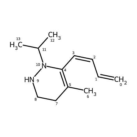 C=C/C=C\C1=C(C)CCNN1C(C)C